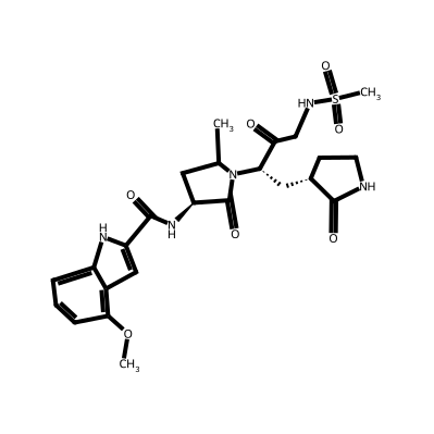 COc1cccc2[nH]c(C(=O)N[C@H]3CC(C)N([C@@H](C[C@@H]4CCNC4=O)C(=O)CNS(C)(=O)=O)C3=O)cc12